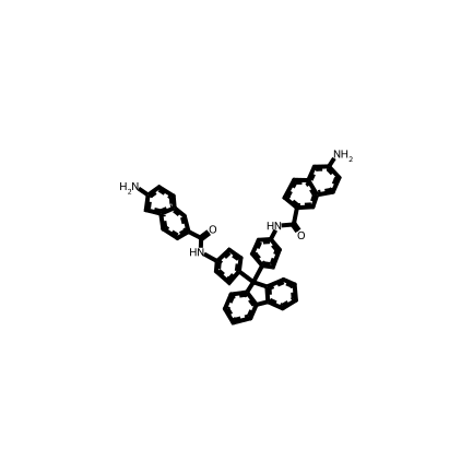 Nc1ccc2cc(C(=O)Nc3ccc(C4(c5ccc(NC(=O)c6ccc7cc(N)ccc7c6)cc5)c5ccccc5-c5ccccc54)cc3)ccc2c1